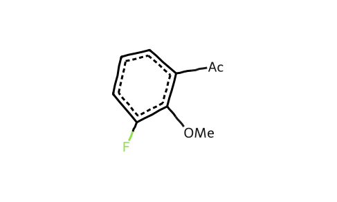 COc1c(F)cccc1C(C)=O